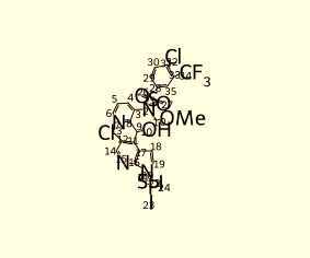 COCN(c1cccnc1C(O)c1c(Cl)cnc2c1ccn2SP(I)I)S(=O)(=O)c1ccc(Cl)c(C(F)(F)F)c1